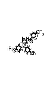 CC(C)Oc1ccc(C(c2ccc(C#N)cc2)N2CC[C@@H](NC(=O)c3ccc(C(F)(F)F)cc3)C2)cn1